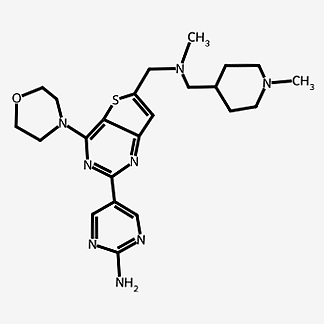 CN1CCC(CN(C)Cc2cc3nc(-c4cnc(N)nc4)nc(N4CCOCC4)c3s2)CC1